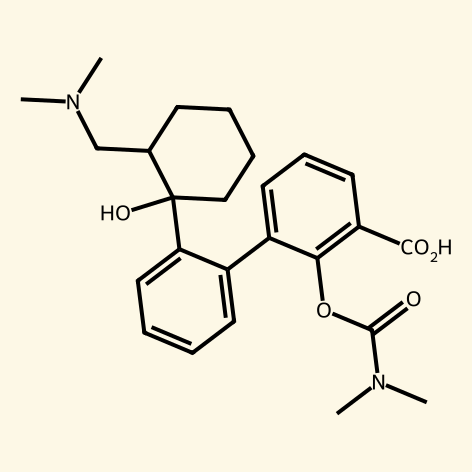 CN(C)CC1CCCCC1(O)c1ccccc1-c1cccc(C(=O)O)c1OC(=O)N(C)C